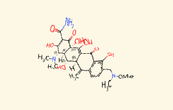 C=C1c2ccc(CN(C)OC)c(O)c2C(=O)C2=C(O)[C@]3(O)C(=O)C(C(N)=O)=C(O)[C@@H](N(C)C)[C@@H]3[C@@H](O)[C@H]12